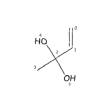 C=CC(C)(O)O